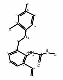 C=Cc1cccc(COc2ccc(C)cc2C)c1NC(=O)OC